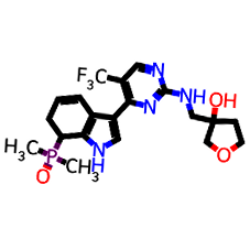 CP(C)(=O)C1CC=Cc2c(-c3nc(NCC4(O)CCOC4)ncc3C(F)(F)F)c[nH]c21